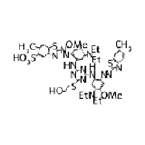 CCN(CC)c1cc(Nc2nc(Nc3cc(N(CC)CC)c(OC)cc3/N=N/c3nc4cc(S(=O)(=O)O)c(C)cc4s3)nc(SCCO)n2)c(/N=N/c2nc3ccc(C)cc3s2)cc1OC